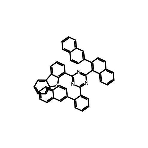 c1ccc(-c2nc(-c3c(-c4ccc5ccccc5c4)ccc4ccccc34)nc(-c3cccc4c3sc3ccccc34)n2)c(-c2ccc3ccccc3c2)c1